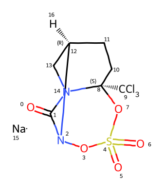 O=C1N2OS(=O)(=O)O[C@]3(C(Cl)(Cl)Cl)CC[C@@H]2CN13.[Na]